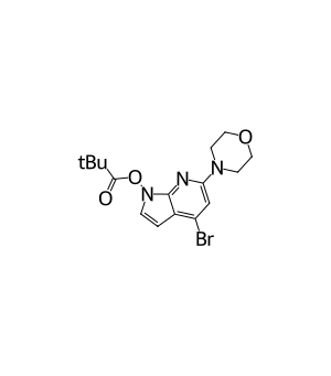 CC(C)(C)C(=O)On1ccc2c(Br)cc(N3CCOCC3)nc21